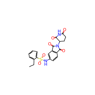 CCc1ccccc1S(=O)(=O)Nc1ccc2c(c1)C(=O)N(C1CCC(=O)NC1=O)C2=O